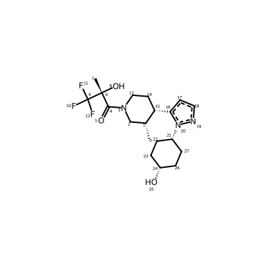 C[C@@H]1CN(C(=O)[C@@](C)(O)C(F)(F)F)CC[C@@H]1c1ccnn1[C@H]1CC[C@@H](O)CC1